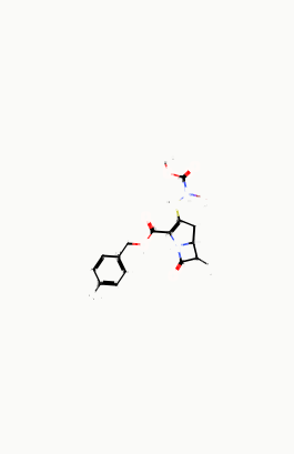 CCC1C(=O)N2C(C(=O)OCc3ccc([N+](=O)[O-])cc3)=C(SN(Br)C(=O)OC(C)(C)C)CC12